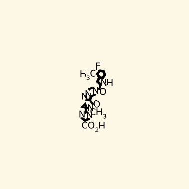 Cc1c(F)ccc2[nH]c(C(=O)N3CCn4ncc(C(=O)N(C)C5(c6ncc(C(=O)O)cn6)CC5)c4C3)cc12